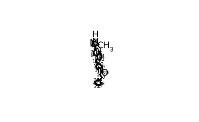 Cc1[nH]ncc1-c1ccc2c(ccn2CC2CCN(C(=O)CCc3ccccc3)CC2)n1